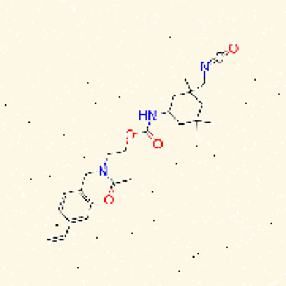 C=Cc1ccc(CN(CCOC(=O)NC2CC(C)(C)CC(C)(CN=C=O)C2)C(C)=O)cc1